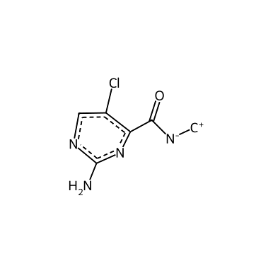 [CH2+][N-]C(=O)c1nc(N)ncc1Cl